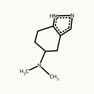 CN(C)C1CCc2[nH]ncc2C1